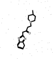 CC1CCN(CCC(=O)CC2=NC3=CC=CCC3=N2)CC1